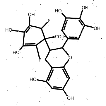 O=C(O)[C@@]1(C2Cc3c(O)cc(O)cc3OC2c2cc(O)c(O)c(O)c2)C(F)=C(O)C(O)=C(O)C1F